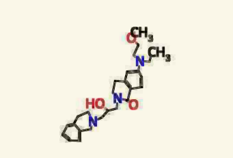 CCN(CCOC)c1ccc2c(c1)CCN(CC(O)CN1CCc3ccccc3C1)C2=O